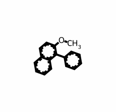 COc1ccc2ccccc2c1-c1ccccc1